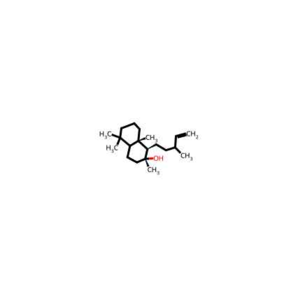 C=CC(C)CC[C@@H]1[C@@]2(C)CCCC(C)(C)C2CC[C@@]1(C)O